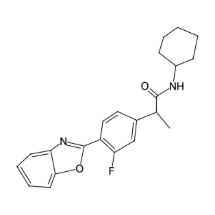 CC(C(=O)NC1CCCCC1)c1ccc(-c2nc3ccccc3o2)c(F)c1